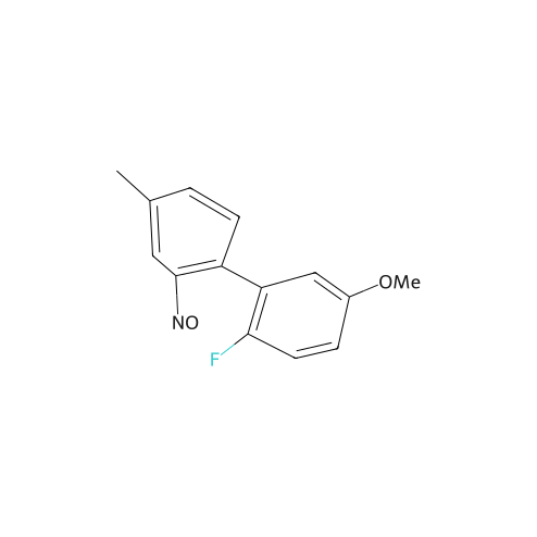 COc1ccc(F)c(-c2ccc(C)cc2N=O)c1